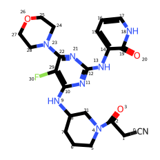 N#CCC(=O)N1CCCC(Nc2nc(Nc3ccc[nH]c3=O)nc(N3CCOCC3)c2F)C1